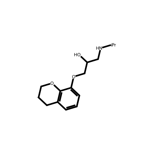 CC(C)NCC(O)COc1cccc2c1OC[CH]C2